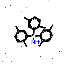 Cc1ccc(C)c([Si]([NH])(c2cc(C)ccc2C)c2cc(C)ccc2C)c1